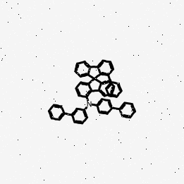 c1ccc(-c2ccc(N(c3cccc(-c4ccccc4)c3)c3cccc4c3-c3ccccc3C43c4ccccc4-c4cccc(-c5ccccc5)c43)cc2)cc1